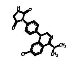 CN(C)C1=NCC(c2ccc(N3C(=O)CNC3=O)cc2)c2cc(Cl)ccc21